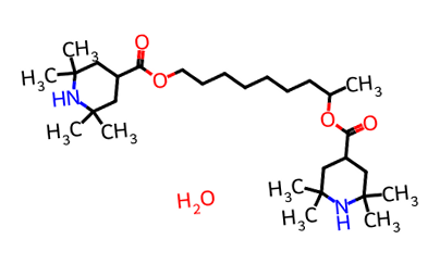 CC(CCCCCCCOC(=O)C1CC(C)(C)NC(C)(C)C1)OC(=O)C1CC(C)(C)NC(C)(C)C1.O